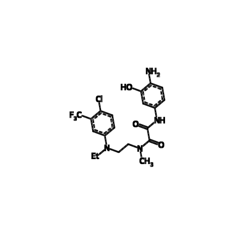 CCN(CCN(C)C(=O)C(=O)Nc1ccc(N)c(O)c1)c1ccc(Cl)c(C(F)(F)F)c1